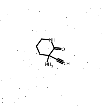 C#CC1(N)CCCNC1=O